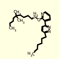 CCCCCCCc1ccc(-c2cccnc2O[SiH2]CCCCC(C)(C)CCCC)nn1